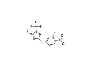 CCn1nc(Cc2ccc([N+](=O)[O-])c(C)c2)nc1C(F)(F)F